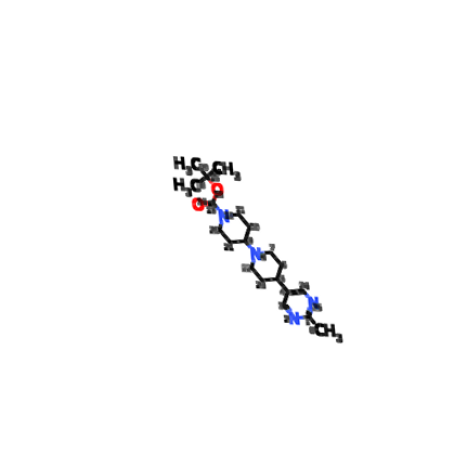 Cc1ncc(C2CCN(C3CCN(C(=O)OC(C)(C)C)CC3)CC2)cn1